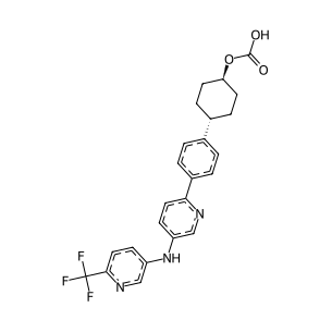 O=C(O)O[C@H]1CC[C@H](c2ccc(-c3ccc(Nc4ccc(C(F)(F)F)nc4)cn3)cc2)CC1